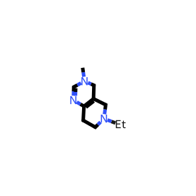 CCN1CCC2=C(CN(C)C=N2)C1